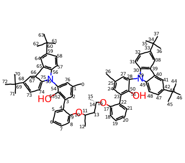 Cc1cc(-c2ccccc2OC(C)C[C@H](C)Oc2ccccc2-c2cc(C)cc(-n3c4ccc(C(C)(C)C)cc4c4cc(C(C)(C)C)ccc43)c2O)c(O)c(-n2c3ccc(C(C)(C)C)cc3c3cc(C(C)(C)C)ccc32)c1